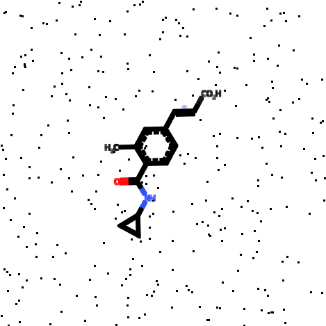 Cc1cc(/C=C/C(=O)O)ccc1C(=O)NC1CC1